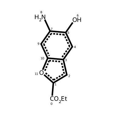 CCOC(=O)c1cc2cc(O)c(N)cc2o1